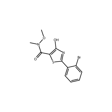 CON(C)C(=O)c1sc(-c2ccccc2Br)nc1O